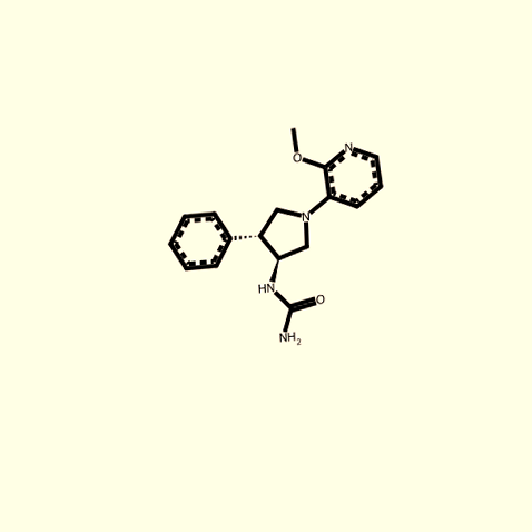 COc1ncccc1N1C[C@@H](NC(N)=O)[C@H](c2ccccc2)C1